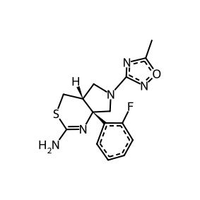 Cc1nc(N2C[C@H]3CSC(N)=N[C@@]3(c3ccccc3F)C2)no1